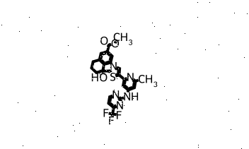 COC(=O)c1ccc2c(c1)CCC[C@@]2(O)c1ncc(-c2cc(Nc3nccc(C(F)(F)F)n3)cc(C)n2)s1